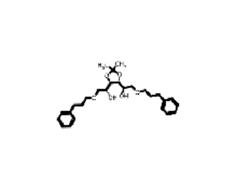 CC1(C)O[C@H]([C@H](O)COCCCc2ccccc2)[C@@H]([C@H](O)COCCCc2ccccc2)O1